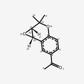 CC(=O)c1ccc2c(c1)[C@@H]1O[C@@H]1C(C)(C)O2